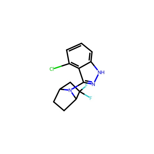 FC1(F)CC2CCC1N2c1n[nH]c2cccc(Cl)c12